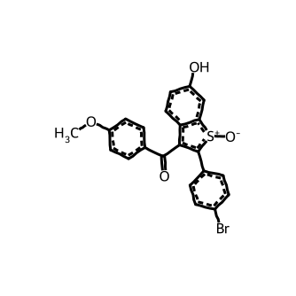 COc1ccc(C(=O)c2c(-c3ccc(Br)cc3)[s+]([O-])c3cc(O)ccc23)cc1